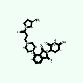 N[C@@H]1CCN(C(=O)CCN2CCN(c3cccc4c3C(=O)N(C3CCC(=O)NC3=O)C4=O)CC2)C1